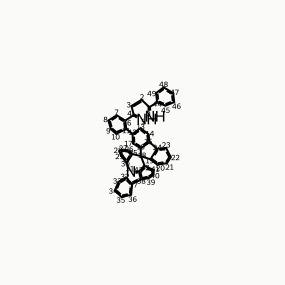 N=C(/C=C\C(=N)c1ccccc1-c1ccc2c(c1)C1(c3ccccc3-2)c2ccccc2-n2c3ccccc3c3cccc1c32)c1ccccc1